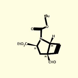 CCOC(=O)[C@@H]1C[C@@]2(C=O)C#C[C@H]2N1C(=O)OC(C)(C)C